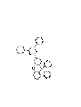 c1ccc(-c2cc(-c3ccccc3)nc(-c3ccc4c(c3)Oc3ccccc3C4(c3ccccc3)c3ccccc3)n2)cc1